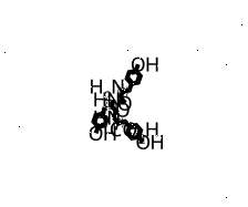 N[C@@H](Cc1ccc(O)cc1)C(=O)N[C@@H](Cc1ccc(O)cc1)C(=O)N[C@@H](Cc1ccc(O)cc1)C(=O)O